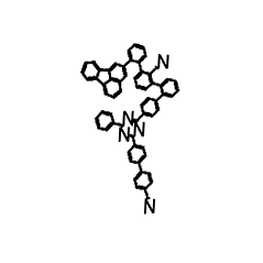 N#Cc1ccc(-c2ccc(-c3nc(-c4ccccc4)nc(-c4ccc(-c5ccccc5-c5cccc(-c6ccccc6-c6cc7c8c(cccc8c6)-c6ccccc6-7)c5C#N)cc4)n3)cc2)cc1